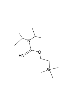 CC(C)N(C(=N)OCC[Si](C)(C)C)C(C)C